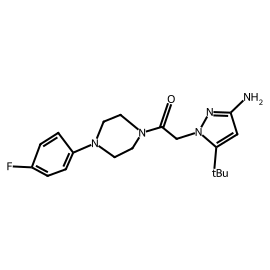 CC(C)(C)c1cc(N)nn1CC(=O)N1CCN(c2ccc(F)cc2)CC1